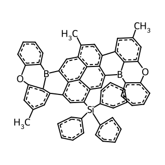 Cc1cc2c3c(c1)-c1cc(C)c4cc5c6c(cc([Si](c7ccccc7)(c7ccccc7)c7ccccc7)c7cc(c1c4c76)B3c1ccccc1O2)-c1cc(C)cc2c1B5c1ccccc1O2